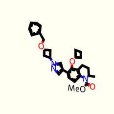 COC(=O)N1c2ccc(-c3cnn(C4CC(OCc5ccccc5)C4)c3)c(OC3CCC3)c2CCC1C